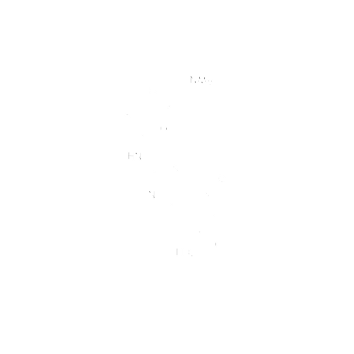 CNCC(=O)OC(=O)Nc1nc2c(s1)C(=O)CC(C)(C)C2